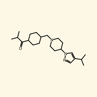 CC(C)C(=O)C1CCC(CN2CCC(n3cc(C(C)C)cn3)CC2)CC1